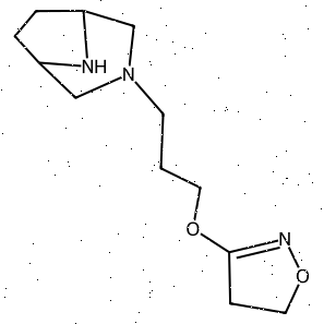 C(COC1=NOCC1)CN1CC2CCC(C1)N2